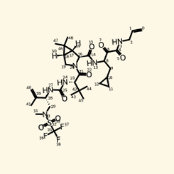 C=CCNC(=O)C(=O)C(CC1CC1)NC(=O)[C@@H]1[C@@H]2[C@H](CN1C(=O)[C@@H](NC(=O)N[C@H](CN(C)S(=O)(=O)C(F)(F)F)C(=C)C)C(C)(C)C)C2(C)C